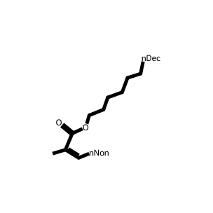 CCCCCCCCCC=C(C)C(=O)OCCCCCCCCCCCCCCCC